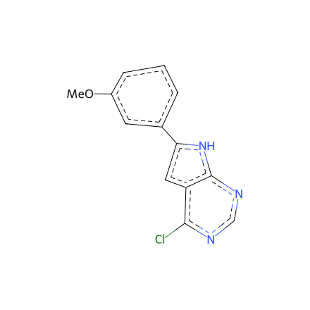 COc1cccc(-c2cc3c(Cl)ncnc3[nH]2)c1